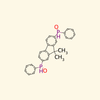 CC1(C)c2cc([PH](=O)c3ccccc3)ccc2-c2ccc([PH](=O)c3ccccc3)cc21